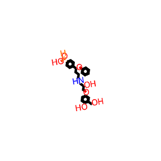 O=[PH](O)c1ccc(C(CCCNCC(O)COc2ccc(O)c(CO)c2)Oc2ccccc2)cc1